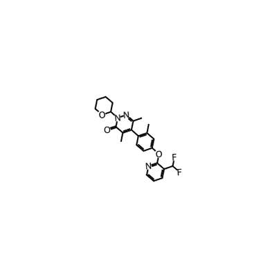 Cc1cc(Oc2ncccc2C(F)F)ccc1-c1c(C)nn(C2CCCCO2)c(=O)c1C